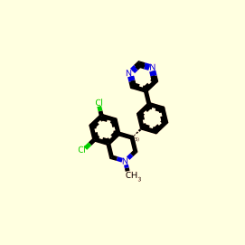 CN1Cc2c(Cl)cc(Cl)cc2[C@H](c2cccc(-c3cncnc3)c2)C1